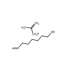 C=C(C)C(=O)O.CCCCCCCCCCCCCO